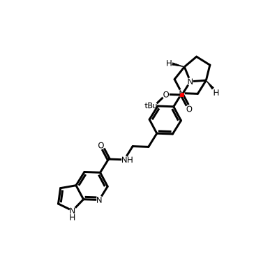 CC(C)(C)OC(=O)N1[C@@H]2CC[C@H]1CN(c1ccc(CCNC(=O)c3cnc4[nH]ccc4c3)cc1)C2